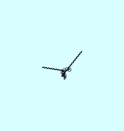 CCCCCCCCCCCCCCCCCC(=O)OCC(COP(CC)OSF)OC(=O)CCCCCCCCCCCCCCCC